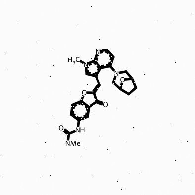 CNC(=O)Nc1ccc2c(c1)C(=O)C(=Cc1cn(C)c3nccc(N4CC5CCC(C4)O5)c13)O2